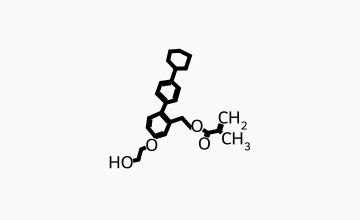 C=C(C)C(=O)OCCc1cc(OCCO)ccc1-c1ccc(C2CCCCC2)cc1